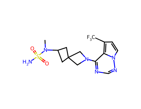 CN(C1CC2(C1)CN(c1ncnn3ccc(C(F)(F)F)c13)C2)S(N)(=O)=O